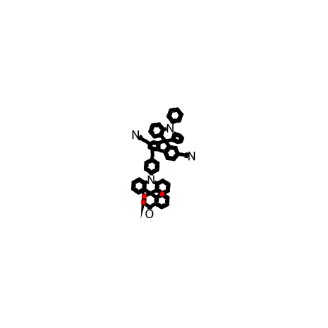 N#Cc1ccc2c(c1)C1(c3ccccc3N(c3ccccc3)c3ccccc31)c1cc(C#N)cc(-c3ccc(N4c5ccccc5C5(c6ccccc6C(=O)c6ccccc65)c5ccccc54)cc3)c1-2